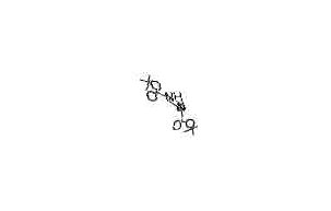 CC(C)(C)OC(=O)NCC12CC(C1)N(C(=O)OC(C)(C)C)C2